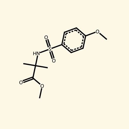 COC(=O)C(C)(C)NS(=O)(=O)c1ccc(OC)cc1